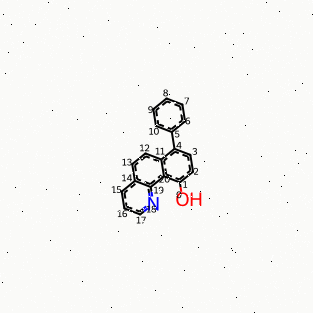 Oc1ccc(-c2ccccc2)c2ccc3cccnc3c12